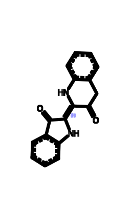 O=C1Cc2ccccc2N/C1=C1/Nc2ccccc2C1=O